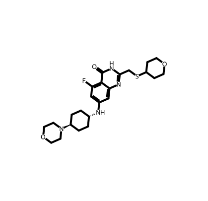 O=c1[nH]c(CSC2CCOCC2)nc2cc(N[C@H]3CC[C@H](N4CCOCC4)CC3)cc(F)c12